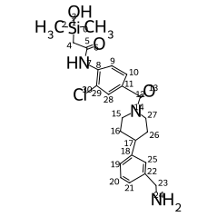 C[Si](C)(O)CC(=O)Nc1ccc(C(=O)N2CCC(c3cccc(CN)c3)CC2)cc1Cl